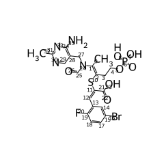 C/C(=C(\CCOP(=O)(O)O)S/C(=C/c1cc(Br)ccc1F)C(=O)O)N(C=O)Cc1cnc(C)nc1N